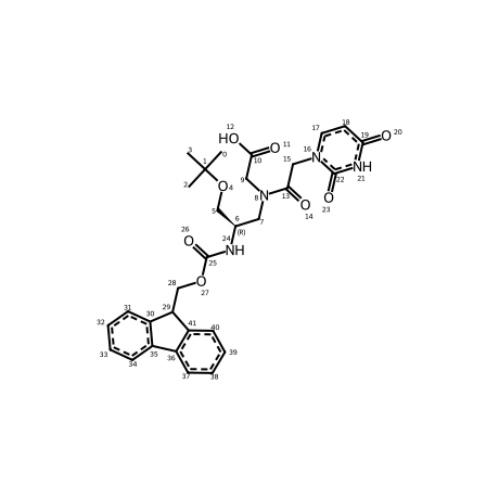 CC(C)(C)OC[C@@H](CN(CC(=O)O)C(=O)Cn1ccc(=O)[nH]c1=O)NC(=O)OCC1c2ccccc2-c2ccccc21